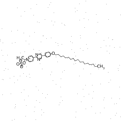 CCCCCCCCCCCCCCCCCCOc1ccc(-c2cnc(-c3cc[n+](C(C)OS(=O)(=O)[O-])cc3)nc2)cc1